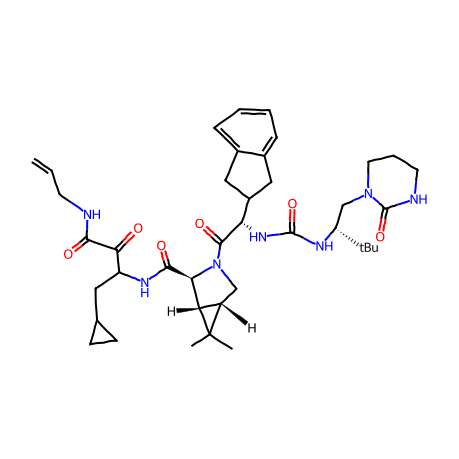 C=CCNC(=O)C(=O)C(CC1CC1)NC(=O)[C@@H]1[C@@H]2[C@H](CN1C(=O)[C@@H](NC(=O)N[C@H](CN1CCCNC1=O)C(C)(C)C)C1Cc3ccccc3C1)C2(C)C